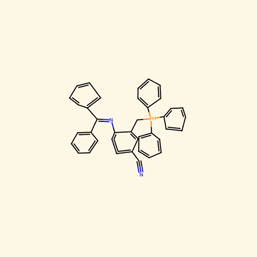 N#CC1=C=C=C(N=C(c2ccccc2)c2ccccc2)C(C[PH](c2ccccc2)(c2ccccc2)c2ccccc2)=C1